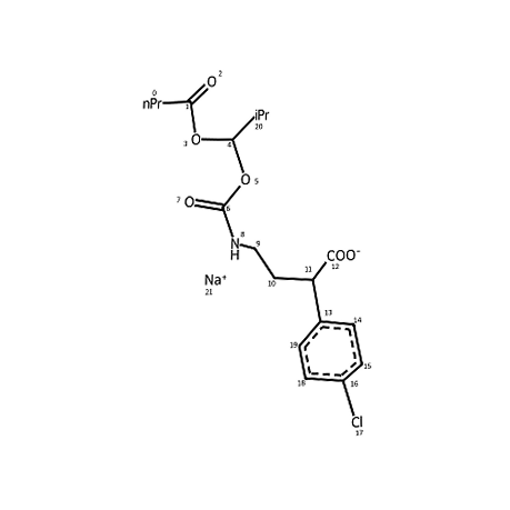 CCCC(=O)OC(OC(=O)NCCC(C(=O)[O-])c1ccc(Cl)cc1)C(C)C.[Na+]